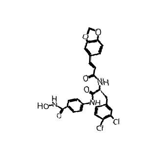 O=C(/C=C/c1ccc2c(c1)OCO2)N[C@@H](Cc1ccc(Cl)c(Cl)c1)C(=O)Nc1ccc(C(=O)NO)cc1